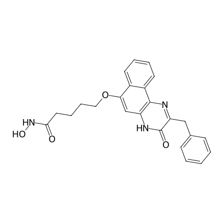 O=C(CCCCOc1cc2[nH]c(=O)c(Cc3ccccc3)nc2c2ccccc12)NO